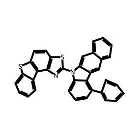 c1ccc(-c2cccc3c2c2cc4ccccc4cc2n3-c2nc3c(ccc4sc5ccccc5c43)s2)cc1